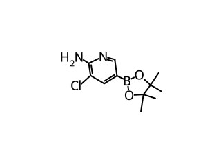 CC1(C)OB(c2cnc(N)c(Cl)c2)OC1(C)C